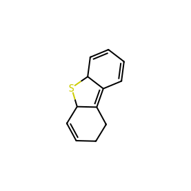 C1=CC2=C3CCC=CC3SC2C=C1